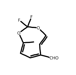 C\C1=C/C=C(C=O)\C=C\OC(F)(F)O1